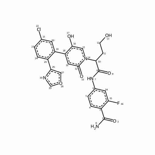 NC(=O)c1ccc(NC(=O)C(CCO)n2cc(O)c(-c3cc(Cl)ccc3-c3cocn3)cc2=O)cc1F